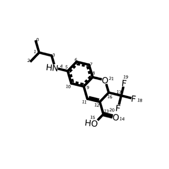 CC(C)CNc1ccc2c(c1)C=C(C(=O)O)C(C(F)(F)F)O2